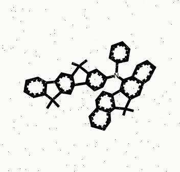 CC1(C)c2ccccc2-c2cc3c(cc21)-c1ccc(N(c2ccccc2)c2c4c(cc5ccccc25)C(C)(C)c2c-4ccc4ccccc24)cc1C3(C)C